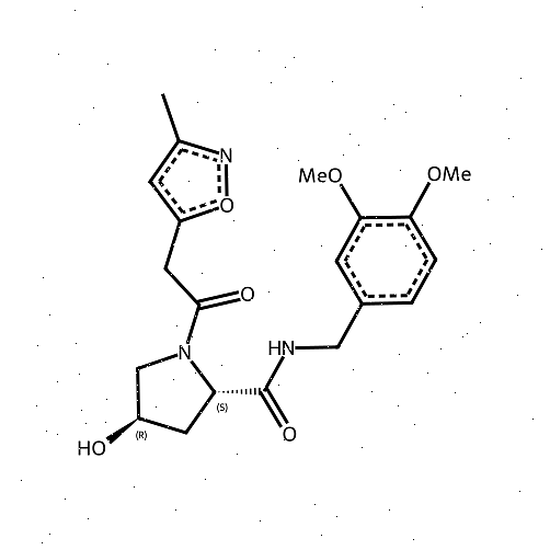 COc1ccc(CNC(=O)[C@@H]2C[C@@H](O)CN2C(=O)Cc2cc(C)no2)cc1OC